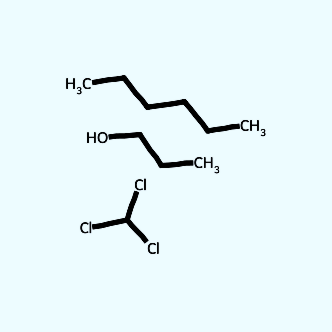 CCCCCC.CCCO.ClC(Cl)Cl